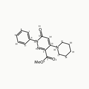 COC(=O)c1nn(-c2ccccc2)c(=O)cc1N1CCCCC1